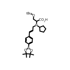 CC(C)(C)OCC(C(=O)O)N(CC=Cc1ccc(B2OC(C)(C)C(C)(C)O2)cc1)C1CCCC1